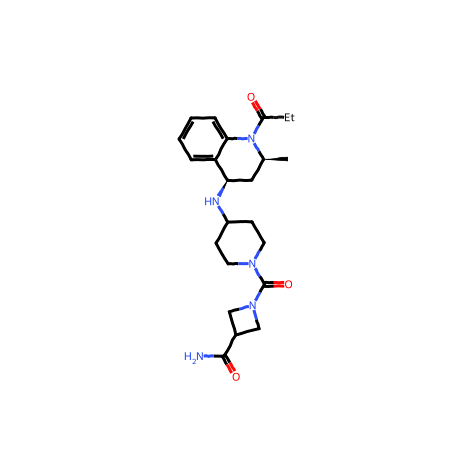 CCC(=O)N1c2ccccc2[C@H](NC2CCN(C(=O)N3CC(C(N)=O)C3)CC2)C[C@@H]1C